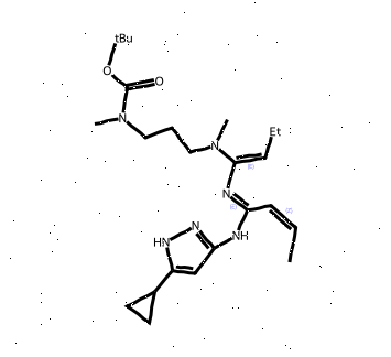 C\C=C/C(=N\C(=C\CC)N(C)CCCN(C)C(=O)OC(C)(C)C)Nc1cc(C2CC2)[nH]n1